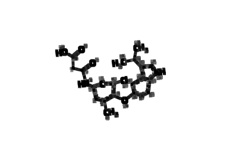 Cc1cc(NC(=O)CC(=O)O)cc(Cl)c1Oc1ccc2[nH]cc(C(C)C)c2c1